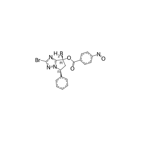 B[C@@]1(OC(=O)c2ccc(N=O)cc2)C[C@@H](c2ccccc2)n2nc(Br)nc21